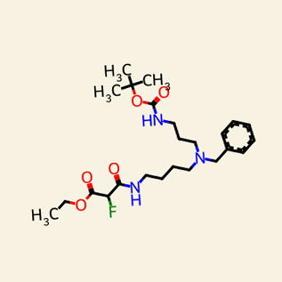 CCOC(=O)C(F)C(=O)NCCCCN(CCCNC(=O)OC(C)(C)C)Cc1ccccc1